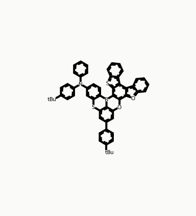 CC(C)(C)c1ccc(-c2cc3c4c(c2)Sc2cc(N(c5ccccc5)c5ccc(C(C)(C)C)cc5)ccc2B4c2c(c4oc5ccccc5c4c4c2sc2ccccc24)O3)cc1